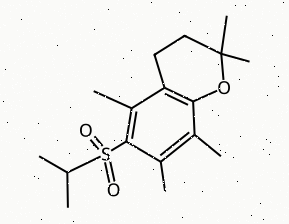 Cc1c(C)c(S(=O)(=O)C(C)C)c(C)c2c1OC(C)(C)CC2